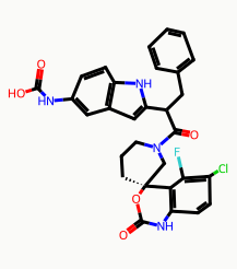 O=C(O)Nc1ccc2[nH]c(C(Cc3ccccc3)C(=O)N3CCC[C@@]4(C3)OC(=O)Nc3ccc(Cl)c(F)c34)cc2c1